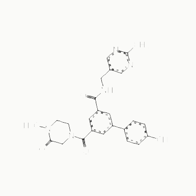 Cc1ccc(-c2cc(C(=O)NCc3cnc(C)nc3)cc(C(=O)N3CCN(C)C(=O)C3)c2)cc1